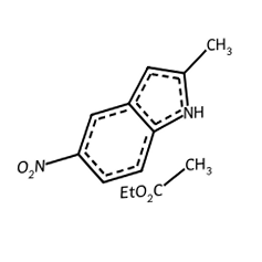 CCOC(C)=O.Cc1cc2cc([N+](=O)[O-])ccc2[nH]1